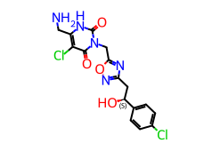 NCc1[nH]c(=O)n(Cc2nc(C[C@H](O)c3ccc(Cl)cc3)no2)c(=O)c1Cl